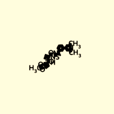 Cc1cc(-c2cccc(-c3csc(NC(=O)[C@H]4CCN4C(=O)c4ccn(S(C)(=O)=O)c4)n3)c2)cc(C)n1